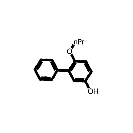 CCCOc1ccc(O)cc1-c1ccccc1